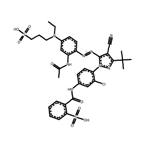 CCN(CCCS(=O)(=O)O)c1ccc(/N=N/c2c(C#N)c(C(C)(C)C)nn2-c2ccc(NC(=O)c3ccccc3S(=O)(=O)O)cc2Cl)c(NC(C)=O)c1